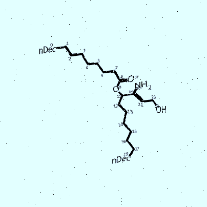 CCCCCCCCCCCCCCCCCC(=O)OC(CCCCCCCCCCCCCCCC)C(N)=CCO